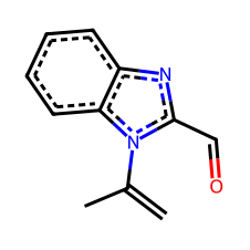 C=C(C)n1c(C=O)nc2ccccc21